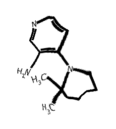 CC1(C)CCCN1c1ccncc1N